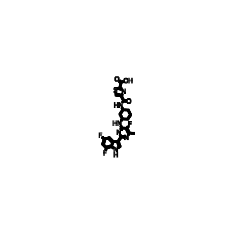 Cc1nc(-c2c[nH]c3c(F)cc(F)cc23)nc(NC2CCCC(NC(=O)c3csc(C(=O)O)n3)C2)c1F